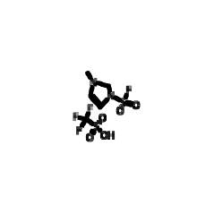 CN1C=CN(S(=O)(=O)F)C1.O=S(=O)(O)C(F)(F)F